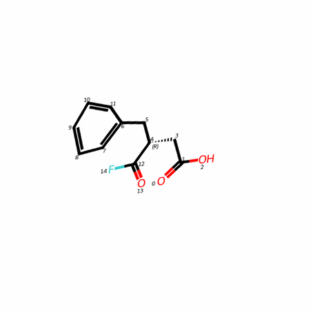 O=C(O)C[C@@H](Cc1ccccc1)C(=O)F